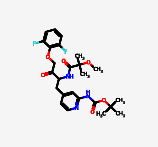 COC(C)(C)C(=O)NC(Cc1ccnc(NC(=O)OC(C)(C)C)c1)C(=O)COc1c(F)cccc1F